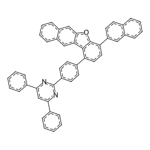 c1ccc(-c2cc(-c3ccccc3)nc(-c3ccc(-c4ccc(-c5ccc6ccccc6c5)c5oc6cc7ccccc7cc6c45)cc3)n2)cc1